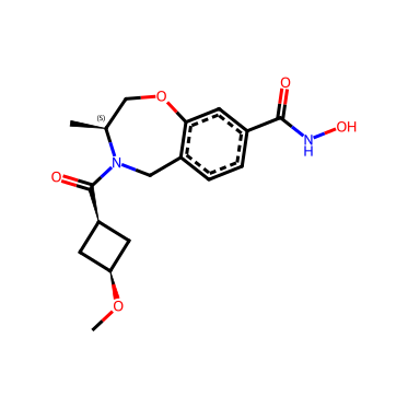 CO[C@H]1C[C@@H](C(=O)N2Cc3ccc(C(=O)NO)cc3OC[C@@H]2C)C1